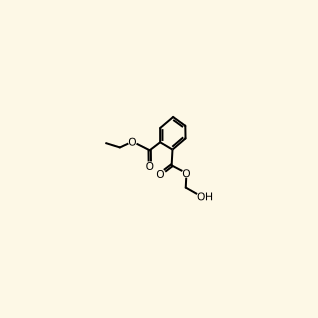 CCOC(=O)c1ccccc1C(=O)OCO